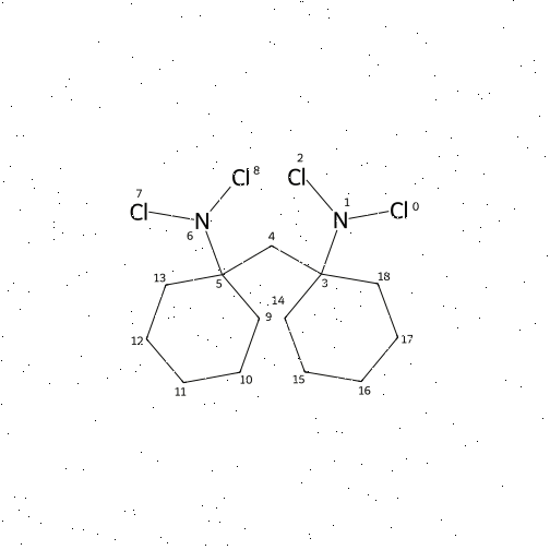 ClN(Cl)C1(CC2(N(Cl)Cl)CCCCC2)CCCCC1